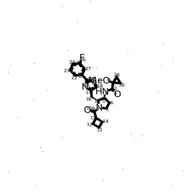 COC1(C(=O)N[C@H]2CCN(C(=O)C3CCC3)[C@H]2Cc2csc(-c3cccc(F)c3)n2)CC1